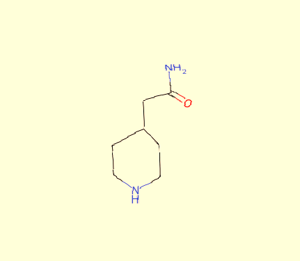 NC(=O)CC1CCNCC1